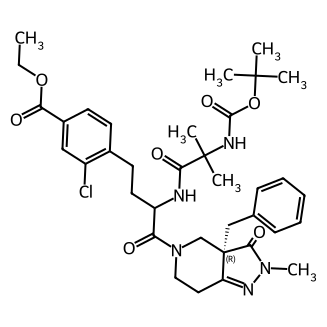 CCOC(=O)c1ccc(CCC(NC(=O)C(C)(C)NC(=O)OC(C)(C)C)C(=O)N2CCC3=NN(C)C(=O)[C@]3(Cc3ccccc3)C2)c(Cl)c1